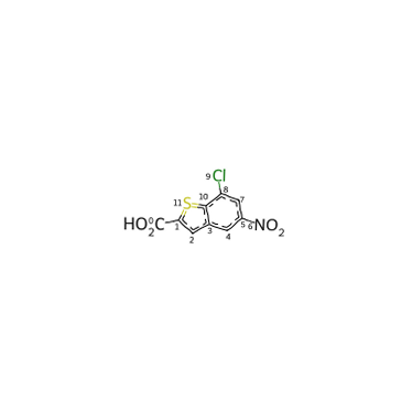 O=C(O)c1cc2cc([N+](=O)[O-])cc(Cl)c2s1